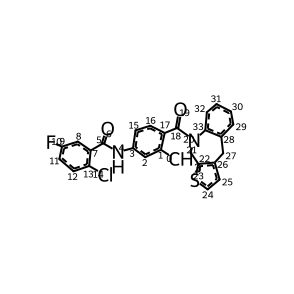 Cc1cc(NC(=O)c2cc(F)ccc2Cl)ccc1C(=O)N1Cc2sccc2Cc2ccccc21